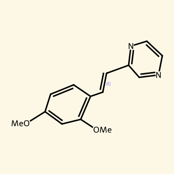 COc1ccc(/C=C/c2cnccn2)c(OC)c1